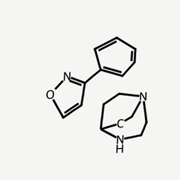 C1CN2CCC(CC2)N1.c1ccc(-c2ccon2)cc1